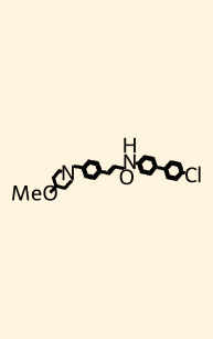 COC1CCN(Cc2ccc(/C=C/C(=O)Nc3ccc(-c4ccc(Cl)cc4)cc3)cc2)CC1